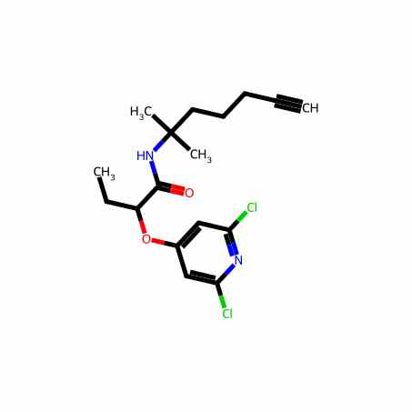 C#CCCCC(C)(C)NC(=O)C(CC)Oc1cc(Cl)nc(Cl)c1